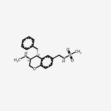 CN[C@@H]1COc2ccc(CNS(C)(=O)=O)cc2[C@H]1Cc1ccccc1